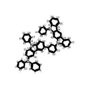 c1ccc(B(c2ccccc2)c2ccc3c(c2)c2cc(-c4cccc(-n5c6ccccc6c6cc7c8ccccc8n(-c8ccccc8)c7cc65)c4)ccc2n3-c2ccccc2)cc1